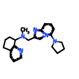 CN(Cc1cn2c(N3CCCC3)cccc2n1)C1CCCc2cccnc21